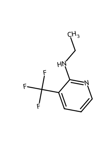 CCNc1ncccc1C(F)(F)F